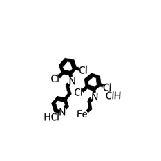 Cl.Cl.Clc1cccc(Cl)c1N=CCc1cccnc1.Clc1cccc(Cl)c1N=C[CH2][Fe]